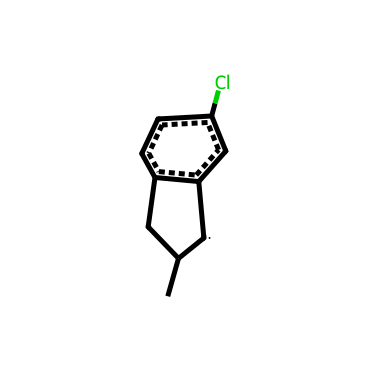 CC1[CH]c2cc(Cl)ccc2C1